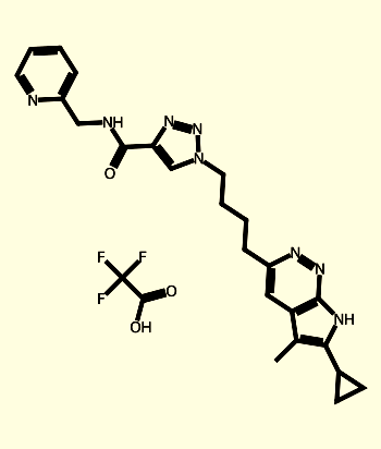 Cc1c(C2CC2)[nH]c2nnc(CCCCn3cc(C(=O)NCc4ccccn4)nn3)cc12.O=C(O)C(F)(F)F